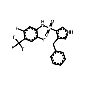 O=S(=O)(Nc1cc(F)c(C(F)(F)F)cc1F)c1c[nH]cc1Cc1ccccc1